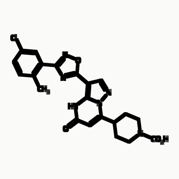 Cc1ccc(Cl)cc1-c1noc(-c2cnn3c(C4CCN(C(=O)O)CC4)cc(=O)[nH]c23)n1